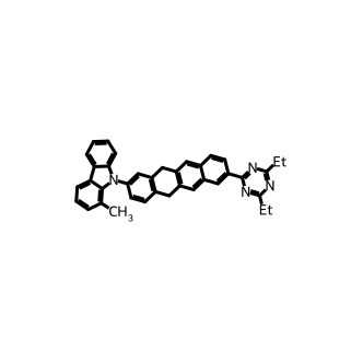 CCc1nc(CC)nc(-c2ccc3cc4c(cc3c2)Cc2ccc(-n3c5ccccc5c5cccc(C)c53)cc2C4)n1